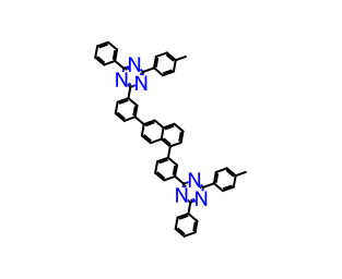 Cc1ccc(-c2nc(-c3ccccc3)nc(-c3cccc(-c4ccc5c(-c6cccc(-c7nc(-c8ccccc8)nc(-c8ccc(C)cc8)n7)c6)cccc5c4)c3)n2)cc1